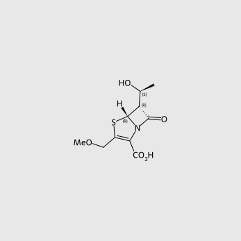 COCC1=C(C(=O)O)N2C(=O)[C@@H]([C@H](C)O)[C@H]2S1